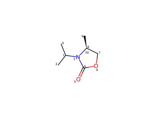 CC(C)N1C(=O)OC[C@@H]1C